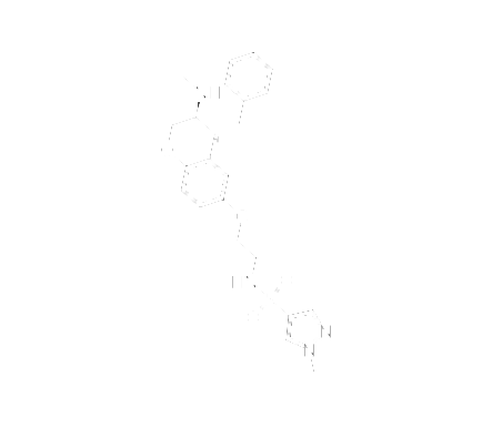 CN[C@@H]1COc2ccc(OCCNS(=O)(=O)c3cnn(C)c3)cc2[C@H]1Cc1ccccc1